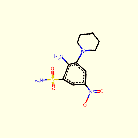 Nc1c(N2CCCCC2)cc([N+](=O)[O-])cc1S(N)(=O)=O